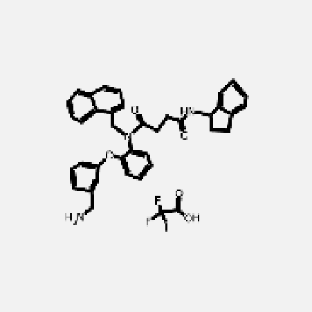 NCc1cccc(Oc2ccccc2N(Cc2cccc3ccccc23)C(=O)CCC(=O)NC2CCc3ccccc32)c1.O=C(O)C(F)(F)F